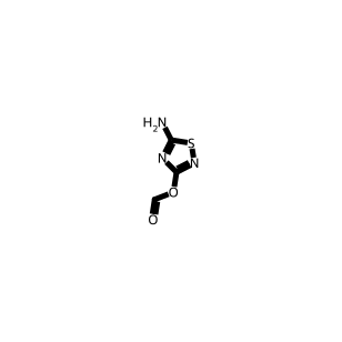 Nc1nc(OC=O)ns1